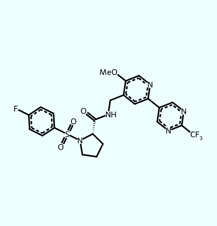 COc1cnc(-c2cnc(C(F)(F)F)nc2)cc1CNC(=O)[C@@H]1CCCN1S(=O)(=O)c1ccc(F)cc1